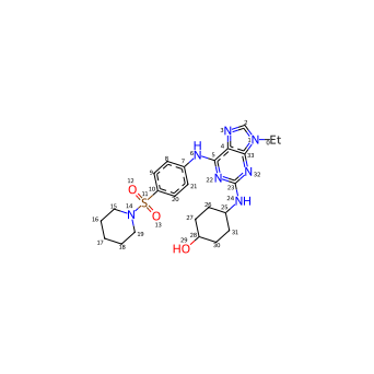 CCn1cnc2c(Nc3ccc(S(=O)(=O)N4CCCCC4)cc3)nc(NC3CCC(O)CC3)nc21